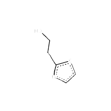 OC[CH]c1nccs1